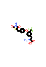 NC(Cc1ccc(Oc2ccc(C=C3SC(=O)NC3=O)cc2)c(C(F)(F)F)c1)C(=O)O